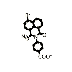 O=C([O-])c1ccc(N2C(=O)c3cccc4c(Br)ccc(c34)C2=O)cc1.[Na+]